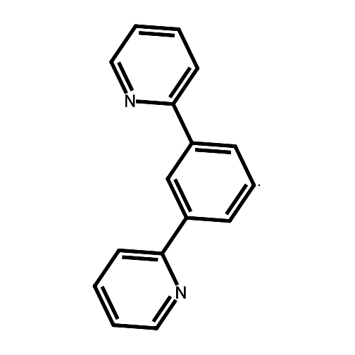 [c]1cc(-c2ccccn2)cc(-c2ccccn2)c1